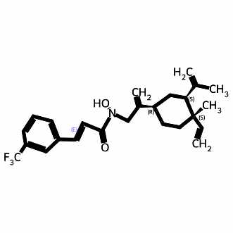 C=C[C@]1(C)CC[C@@H](C(=C)CN(O)C(=O)/C=C/c2cccc(C(F)(F)F)c2)C[C@H]1C(=C)C